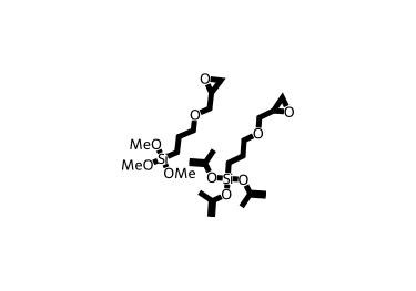 C=C(C)O[Si](CCCOCC1CO1)(OC(=C)C)OC(=C)C.CO[Si](CCCOCC1CO1)(OC)OC